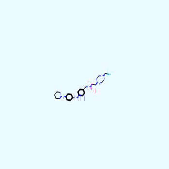 O=C(CN1CCN(CC(F)(F)F)CC1)N(O)Cc1ccc(Nc2ccc(N3CCCCC3)cc2)cc1